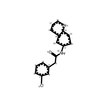 O=C(Cc1cccc(Cl)c1)Nc1ccc2ncccc2c1